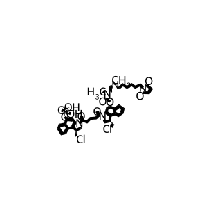 CN(CCCCCCN1C(=O)C=CC1=O)CCN(C)C(=O)Oc1cc2c(c3ccccc13)[C@H](CCl)CN2C(=O)CCCC(=O)N1C[C@@H](CCl)c2c1cc(OP(=O)(O)O)c1ccccc21